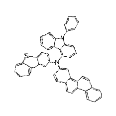 c1ccc(-n2c3ccccc3c3c(N(c4ccc5ccc6c7ccccc7ccc6c5c4)c4ccc5sc6ccccc6c5c4)cccc32)cc1